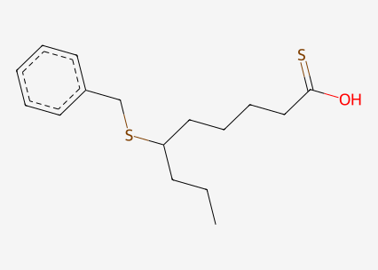 CCCC(CCCCC(O)=S)SCc1ccccc1